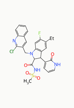 CCc1cc2c(cc1F)N(Cc1cc3ccccc3nc1Cl)C(C(=O)NS(C)(=O)=O)C2c1ccc[nH]c1=O